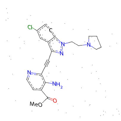 COC(=O)c1ccnc(C#Cc2nn(CCN3CCCC3)c3ccc(Cl)cc23)c1N